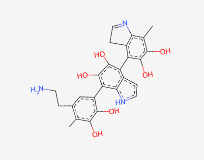 Cc1c(CCN)cc(-c2c(O)c(O)c(-c3c(O)c(O)c(C)c4c3CC=N4)c3cc[nH]c23)c(O)c1O